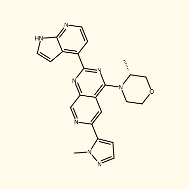 C[C@@H]1COCCN1c1nc(-c2ccnc3[nH]ccc23)nc2cnc(-c3ccnn3C)cc12